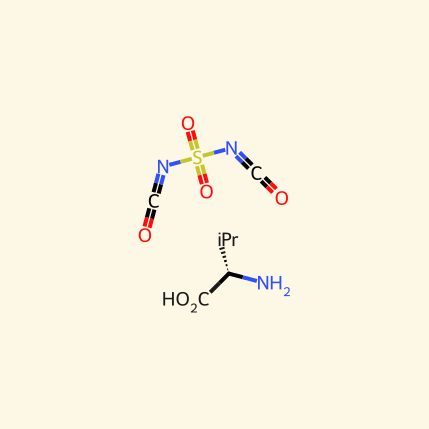 CC(C)[C@H](N)C(=O)O.O=C=NS(=O)(=O)N=C=O